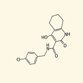 O=C(NCc1ccc(Cl)cc1)c1c(O)c2c([nH]c1=O)CCCC2